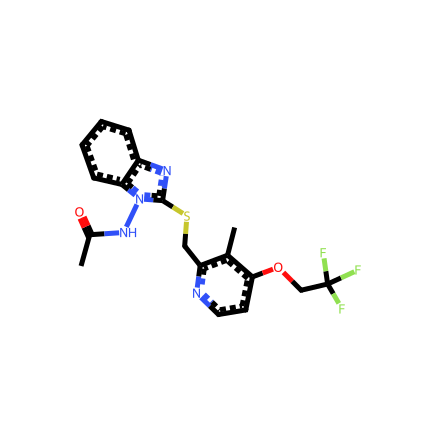 CC(=O)Nn1c(SCc2nccc(OCC(F)(F)F)c2C)nc2ccccc21